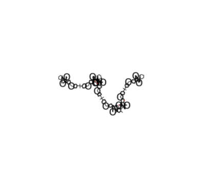 C=C1c2ccc(Oc3ccc(C(C)(C)c4ccc(Oc5ccc6c(c5)C(=O)N(C5CCCCC5N5C(=O)c7ccc(Oc8ccc(C(C)(C)c9ccc(Oc%10ccc%11c(c%10)C(=O)N(C%10CCCCC%10)C%11=O)cc9)cc8)cc7C5=O)C6=O)cc4)cc3)cc2C(=O)N1c1c(C)cc(C)c(CN2C(=O)c3ccc(Oc4ccc(C(C)(C)c5ccc(Oc6ccc7c(c6)C(=O)N(C6CCCCC6)C7=O)cc5)cc4)cc3C2=O)c1C